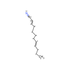 CCC/C=C/CCCC/C=C/C#N